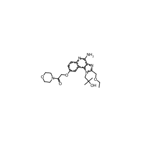 CCOCc1nc2c(N)nc3ccc(OCC(=O)N4CCOCC4)cc3c2n1CC(C)(C)O